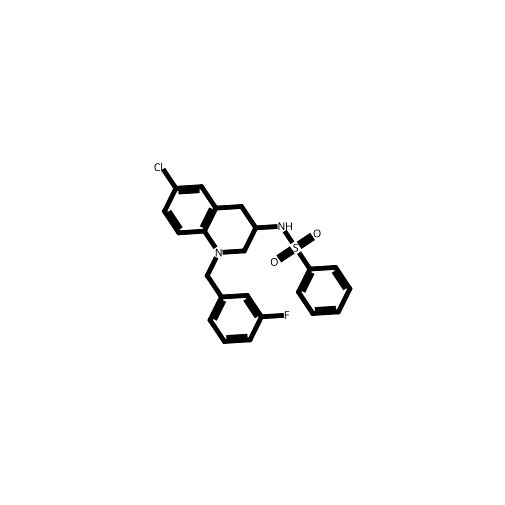 O=S(=O)(NC1Cc2cc(Cl)ccc2N(Cc2cccc(F)c2)C1)c1ccccc1